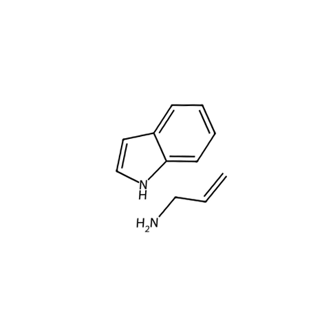 C=CCN.c1ccc2[nH]ccc2c1